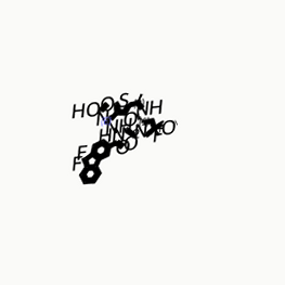 COC[C@@]1(F)C[C@@H](C(=O)N[C@H](C)c2cc(/C(N)=N\C(=O)O)cs2)N(C(=O)CNC(=O)c2ccc3c(c2)-c2ccccc2C3(F)F)C1